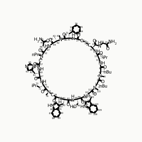 CCCC[C@H]1C(=O)N(C)[C@@H](CCCC)C(=O)N[C@@H](C(C)C)C(=O)N[C@H](C(=O)NCC(N)=O)CSCC(=O)N[C@@H](Cc2ccccc2)C(=O)N(C)[C@@H](C)C(=O)N[C@@H](CC(N)=O)C(=O)N(CCC)CC(=O)N[C@@H](Cc2cnc[nH]2)C(=O)N[C@@H](CC(C)C)C(=O)N(C)CC(=O)N[C@@H](Cc2c[nH]c3ccccc23)C(=O)N[C@@H](CO)C(=O)N[C@@H](Cc2c[nH]c3ccccc23)C(=O)N1C